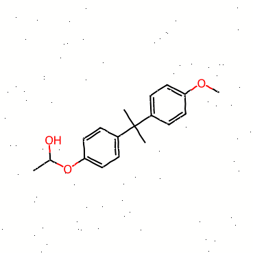 COc1ccc(C(C)(C)c2ccc(OC(C)O)cc2)cc1